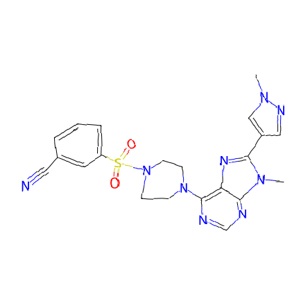 Cn1cc(-c2nc3c(N4CCN(S(=O)(=O)c5cccc(C#N)c5)CC4)ncnc3n2C)cn1